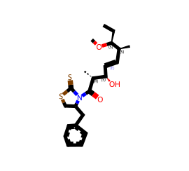 CC[C@H](OC)[C@@H](C)/C=C/[C@H](O)[C@@H](C)C(=O)N1C(=S)SCC1Cc1ccccc1